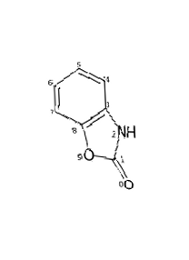 O=c1[nH]c2[c]cccc2o1